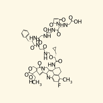 CC[C@@]1(O)C(=O)OCc2c1cc1n(c2=O)Cc2c-1nc1cc(F)c(C)c3c1c2[C@@H](NC(=O)[C@@H](CC1CC1)OCNC(=O)CNC(=O)[C@H](Cc1ccccc1)NC(=O)CNC(=O)CNC(=O)[C@@H](CNCC(=O)O)N1C(=O)C=CC1=O)CC3